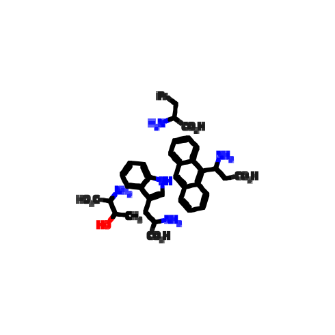 CC(C)CC(N)C(=O)O.CC(O)C(N)C(=O)O.NC(CC(=O)O)c1c2ccccc2cc2ccccc12.NC(Cc1c[nH]c2ccccc12)C(=O)O